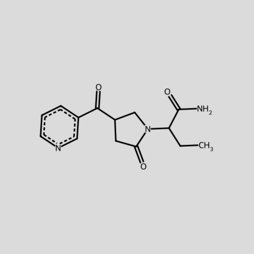 CCC(C(N)=O)N1CC(C(=O)c2cccnc2)CC1=O